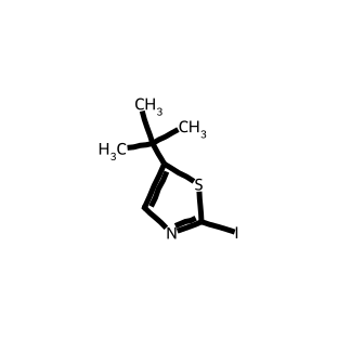 CC(C)(C)c1cnc(I)s1